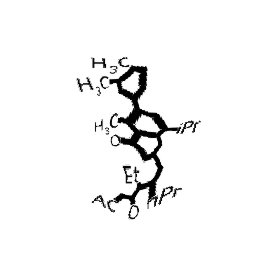 CCCC(CC1CC(=O)c2c(C)c(-c3ccc(C)c(C)c3)cc(C(C)C)c2C1)C(CC)C(=O)CC(C)=O